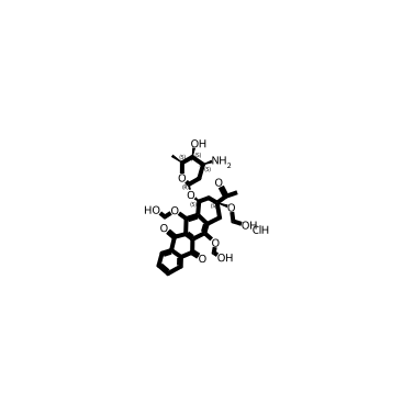 CC(=O)[C@]1(OCO)Cc2c(OCO)c3c(c(OCO)c2[C@@H](O[C@H]2C[C@H](N)[C@H](O)[C@H](C)O2)C1)C(=O)c1ccccc1C3=O.Cl